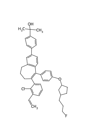 C=Cc1cccc(C2=C(c3ccc(OC4CCC(CCCF)C4)cc3)c3ccc(-c4ccc(C(C)(C)O)cc4)cc3CCC2)c1Cl